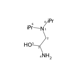 CC(C)N(CC(N)O)C(C)C